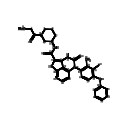 COCC(=O)N1CCC[C@@H](NC(=O)c2sc3nccc4c3c2NC(=O)N4c2ccc(Oc3ccccc3)c(F)c2C)C1